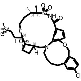 C[C@@H]1[C@@H](C)CCC[C@@](O)(CC[S@+](C)[O-])[C@@H]2CC[C@H]2CN2CCCCc3cc(Cl)ccc3COc3ccc(cc32)C(=O)NS1(=O)=O